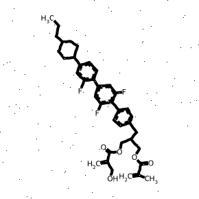 C=C(C)C(=O)OCC(COC(=O)C(=C)CO)Cc1ccc(-c2c(F)cc(-c3ccc(C4CCC(CCC)CC4)cc3F)cc2F)cc1